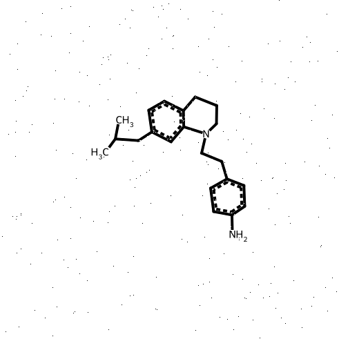 CC(C)Cc1ccc2c(c1)N(CCc1ccc(N)cc1)CCC2